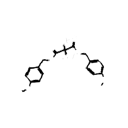 COc1ccc(COC(=O)C(O)(O)C(=O)OCc2ccc(OC)cc2)cc1